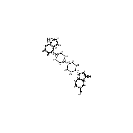 Fc1ccc2c(c1)[nH]cc2[C@H]1CC[C@@H](N2CCN(c3cccc4[nH]ccc34)CC2)CC1